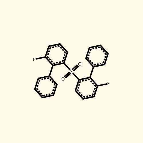 O=S(=O)(c1cccc(F)c1-c1ccccc1)c1cccc(F)c1-c1ccccc1